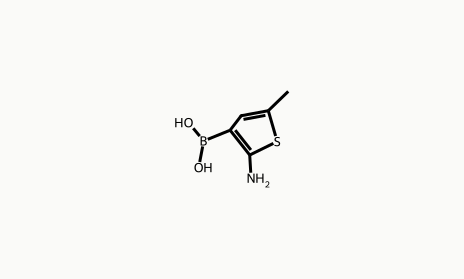 Cc1cc(B(O)O)c(N)s1